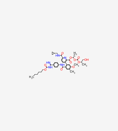 CCCCCCOC(=O)NC(=N)c1ccc(NC(=O)c2cc(C)c(OC)cc2-c2ccc(C(=O)NCC3CC3)nc2C(=O)OC(C)OC(=O)OC(C)CO)cc1